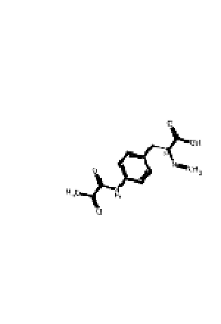 C=N[C@@H](Cc1ccc(NC(=O)C(C)=O)cc1)C(=O)O